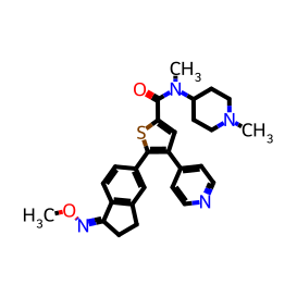 CO/N=C1/CCc2cc(-c3sc(C(=O)N(C)C4CCN(C)CC4)cc3-c3ccncc3)ccc21